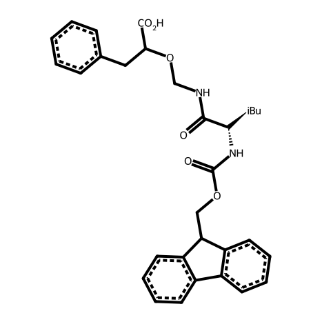 CC[C@H](C)[C@H](NC(=O)OCC1c2ccccc2-c2ccccc21)C(=O)NCOC(Cc1ccccc1)C(=O)O